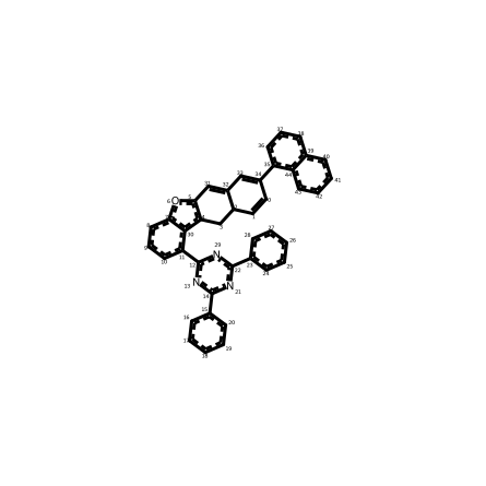 C1=CC2Cc3c(oc4cccc(-c5nc(-c6ccccc6)nc(-c6ccccc6)n5)c34)C=C2C=C1c1cccc2ccccc12